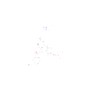 CCC(c1ccc(OC)cc1)C(O)(c1ccc(OCCN(CC)CC)cc1)c1cccc(OC2CCCCO2)c1